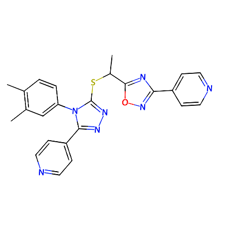 Cc1ccc(-n2c(SC(C)c3nc(-c4ccncc4)no3)nnc2-c2ccncc2)cc1C